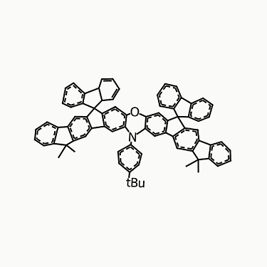 CC(C)(C)c1ccc(N2c3cc4c(cc3Oc3cc5c(cc32)-c2cc3c(cc2C52c5ccccc5C5C=CC=CC52)-c2ccccc2C3(C)C)C2(c3ccccc3-c3ccccc32)c2cc3c(cc2-4)C(C)(C)c2ccccc2-3)cc1